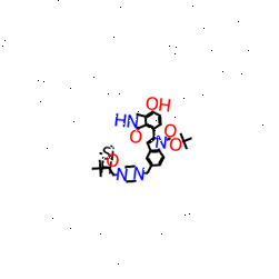 C[SiH](C)OC(CN1CCN(Cc2ccc3c(c2)cc(-c2ccc(O)c4c2C(=O)NC4)n3C(=O)OC(C)(C)C)CC1)C(C)(C)C